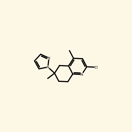 Cc1cc(Cl)nc2c1CC(C)(n1cccn1)CC2